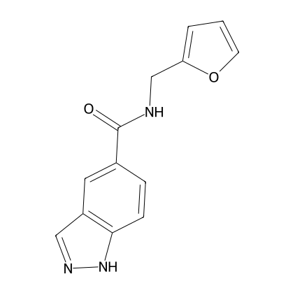 O=C(NCc1ccco1)c1ccc2[nH]ncc2c1